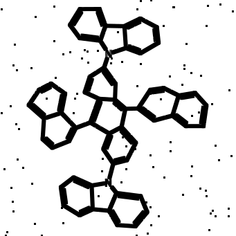 c1ccc2cc(-c3c4cc(-n5c6ccccc6c6ccccc65)ccc4c(-c4cccc5ccccc45)c4cc(-n5c6ccccc6c6ccccc65)ccc34)ccc2c1